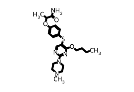 CCCCOc1nc(N2CCN(C)CC2)ncc1Sc1ccc(OC(C)C(N)=O)cc1